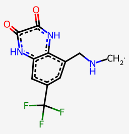 [CH2]NCc1cc(C(F)(F)F)cc2[nH]c(=O)c(=O)[nH]c12